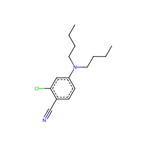 CCCCN(CCCC)c1ccc(C#N)c(Cl)c1